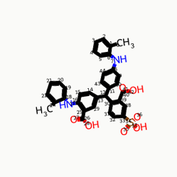 Cc1ccccc1Nc1ccc(C(c2ccc(Nc3ccccc3C)c(C(=O)O)c2)c2ccc(S(=O)(=O)O)cc2C(=O)O)cc1